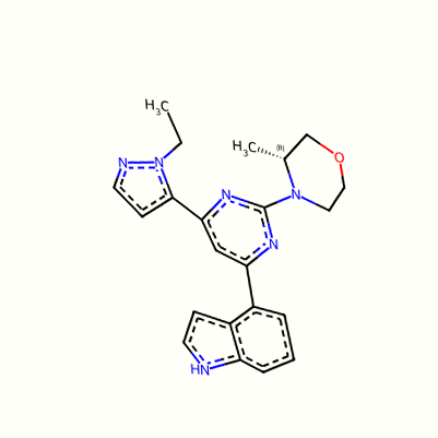 CCn1nccc1-c1cc(-c2cccc3[nH]ccc23)nc(N2CCOC[C@H]2C)n1